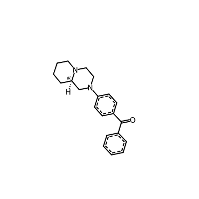 O=C(c1ccccc1)c1ccc(N2CCN3CCCC[C@@H]3C2)cc1